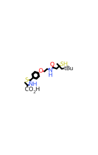 CC(C)(C)CC(C)(S)CC(=O)NCCOc1ccc(C2NC(C(=O)O)CS2)cc1